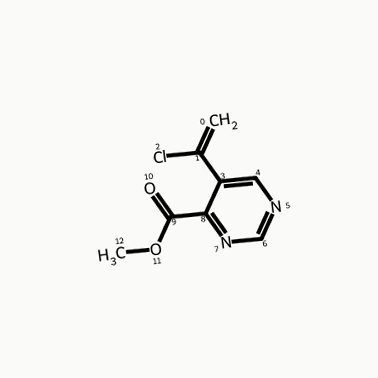 C=C(Cl)c1cncnc1C(=O)OC